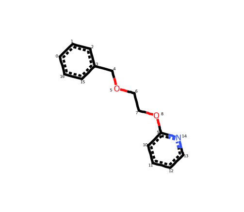 c1ccc(COCCOc2ccccn2)cc1